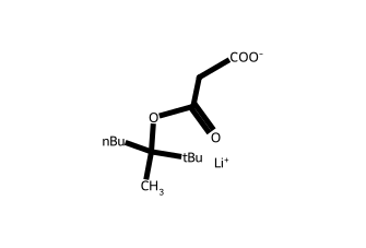 CCCCC(C)(OC(=O)CC(=O)[O-])C(C)(C)C.[Li+]